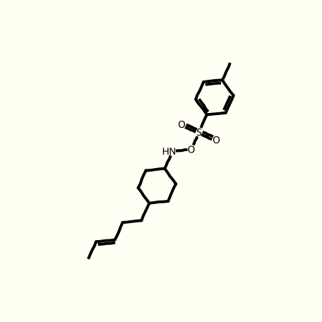 C/C=C/CCC1CCC(NOS(=O)(=O)c2ccc(C)cc2)CC1